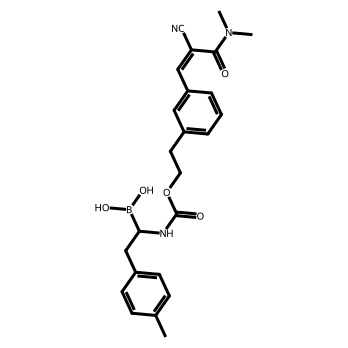 Cc1ccc(CC(NC(=O)OCCc2cccc(C=C(C#N)C(=O)N(C)C)c2)B(O)O)cc1